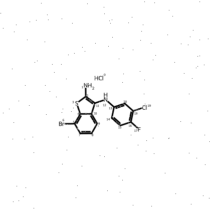 Cl.Nc1sc2c(Br)cccc2c1Nc1ccc(F)c(Cl)c1